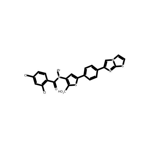 CC(C)N(C(=O)c1ccc(Cl)cc1Cl)c1cc(-c2ccc(-c3cn4ccsc4n3)cc2)sc1C(=O)O